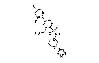 CCc1cc(-c2ccc(F)cc2F)ccc1S(=O)(=O)N[C@H]1CCC[C@@H](n2cnnc2)C1